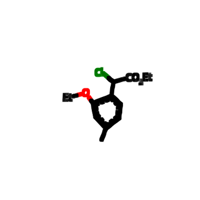 CCOC(=O)C(Cl)c1ccc(C)cc1OCC